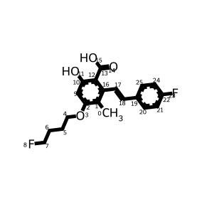 Cc1c(OCCCCF)cc(O)c(C(=O)O)c1C=Cc1ccc(F)cc1